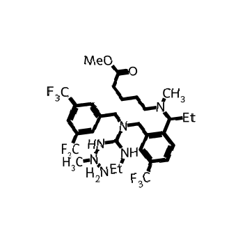 CCNC(NN(C)N)N(Cc1cc(C(F)(F)F)cc(C(F)(F)F)c1)Cc1cc(C(F)(F)F)ccc1C(CC)N(C)CCCCC(=O)OC